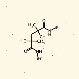 CC(C)NC(=O)C(C)(C)CC(C)(C)C(=O)NC(C)C